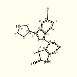 CC1(C)C(=O)Nc2nccc(-c3nn([C@H]4CCNC4)c4cc(F)ccc34)c21